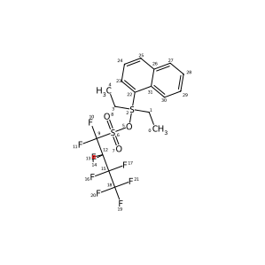 CCS(CC)(OS(=O)(=O)C(F)(F)C(F)(F)C(F)(F)C(F)(F)F)c1cccc2ccccc12